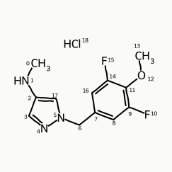 CNc1cnn(Cc2cc(F)c(OC)c(F)c2)c1.Cl